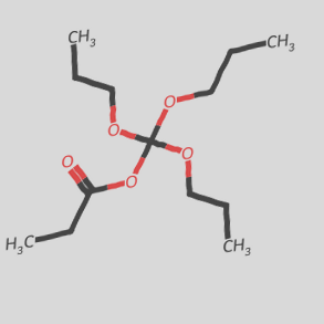 CCCOC(OCCC)(OCCC)OC(=O)CC